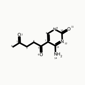 CC(=O)CCC(=O)C1=C[N]C(=O)N=C1N